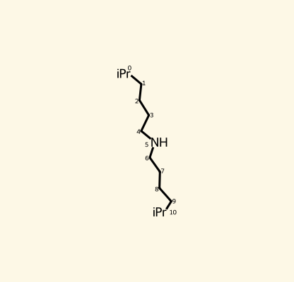 CC(C)CCCCNCCCCC(C)C